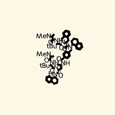 CN[C@@H](C)C(=O)NC(C(=O)N1Cc2ccccc2C[C@H]1C(=O)N(Cc1ccc(C(=O)N[C@H]2C[C@@H](C(=O)N[C@@H]3CCCc4ccccc43)N(C(=O)[C@@H](NC(=O)[C@H](C)NC)C(C)(C)C)C2)cc1)[C@@H]1CCCc2ccccc21)C(C)(C)C